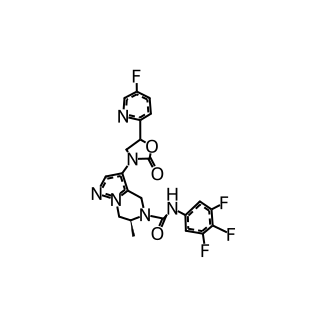 C[C@H]1Cn2ncc(N3CC(c4ccc(F)cn4)OC3=O)c2CN1C(=O)Nc1cc(F)c(F)c(F)c1